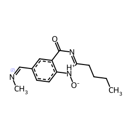 CCCCC1=NC(=O)c2cc(/C=N\C)ccc2[NH+]1[O-]